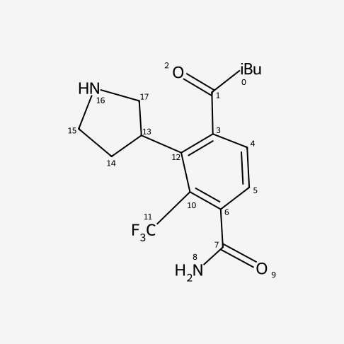 CCC(C)C(=O)c1ccc(C(N)=O)c(C(F)(F)F)c1C1CCNC1